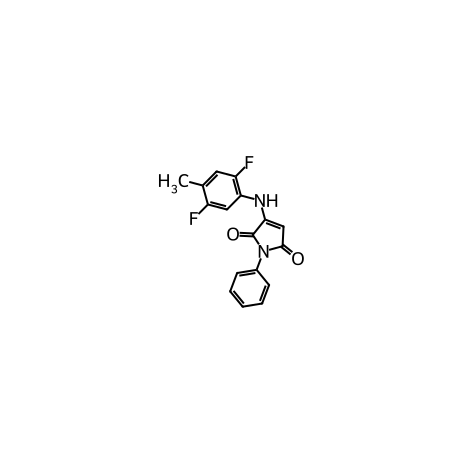 Cc1cc(F)c(NC2=CC(=O)N(c3ccccc3)C2=O)cc1F